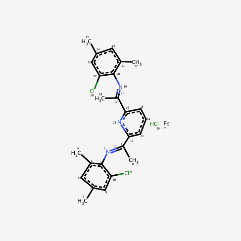 C/C(=N\c1c(C)cc(C)cc1Cl)c1cccc(/C(C)=N/c2c(C)cc(C)cc2Cl)n1.Cl.[Fe]